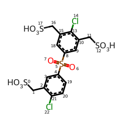 O=S(=O)(O)Cc1cc(S(=O)(=O)c2cc(CS(=O)(=O)O)c(Cl)c(CS(=O)(=O)O)c2)ccc1Cl